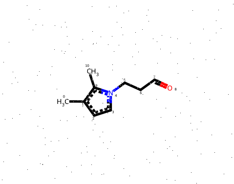 Cc1ccn(CCC=O)c1C